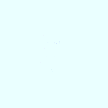 O=c1[nH]c2ccc(F)c(F)c2c(=O)o1